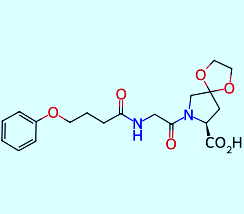 O=C(CCCOc1ccccc1)NCC(=O)N1CC2(C[C@H]1C(=O)O)OCCO2